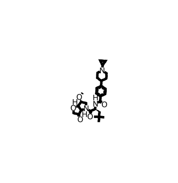 CO[C@H]1CN(C(=O)[C@H](CC(C)(C)C)NC(=O)c2ccc(C3CCN(C4CC4)CC3)cc2)[C@@H]2C(=O)CO[C@H]12